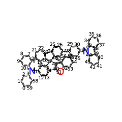 c1ccc(N(c2ccccc2)c2ccc3c(c2)C2(c4ccccc4-c4ccc(-c5ccc(-n6c7ccccc7c7ccccc76)cc5)cc42)c2c-3oc3ccccc23)cc1